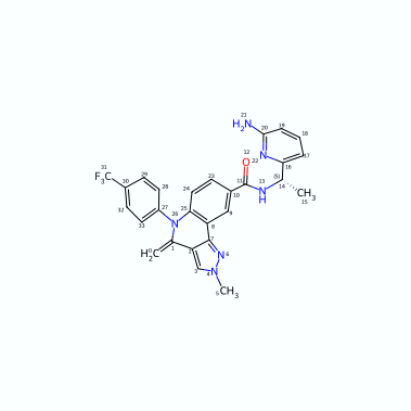 C=C1c2cn(C)nc2-c2cc(C(=O)N[C@@H](C)c3cccc(N)n3)ccc2N1c1ccc(C(F)(F)F)cc1